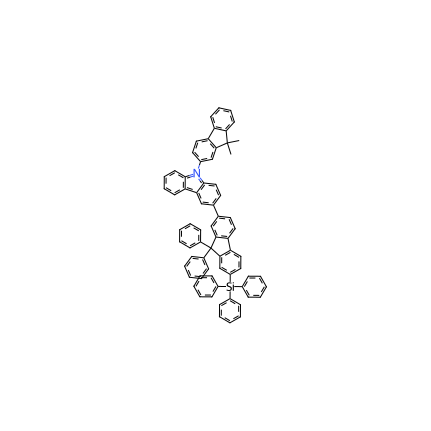 CC1(C)c2ccccc2-c2ccc(-n3c4ccccc4c4cc(-c5ccc6c(c5)C(c5ccccc5)(c5ccccc5)c5cc([Si](c7ccccc7)(c7ccccc7)c7ccccc7)ccc5-6)ccc43)cc21